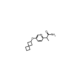 CC(C(N)=O)c1ccc(OC2CC3(CCC3)C2)cn1